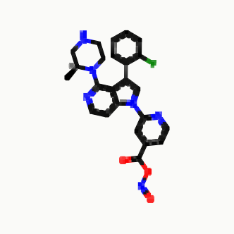 C[C@H]1CNCCN1c1nccc2c1c(-c1ccccc1F)cn2-c1cc(C(=O)ON=O)ccn1